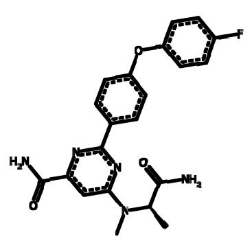 C[C@H](C(N)=O)N(C)c1cc(C(N)=O)nc(-c2ccc(Oc3ccc(F)cc3)cc2)n1